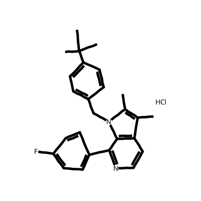 Cc1c(C)n(Cc2ccc(C(C)(C)C)cc2)c2c(-c3ccc(F)cc3)nccc12.Cl